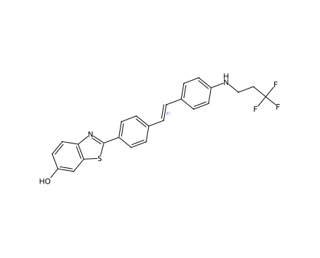 Oc1ccc2nc(-c3ccc(/C=C/c4ccc(NCCC(F)(F)F)cc4)cc3)sc2c1